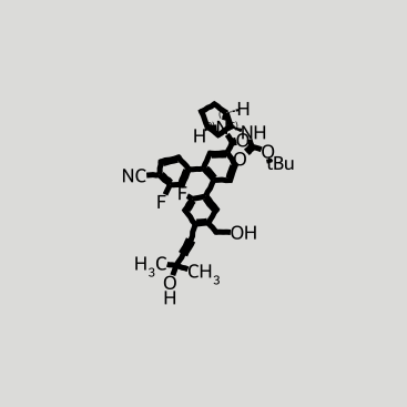 CC(C)(O)C#Cc1cc(F)c(-c2ccc(C(=O)N3[C@@H]4CC[C@H]3[C@@H](NC(=O)OC(C)(C)C)C4)cc2-c2ccc(C#N)c(F)c2)cc1CO